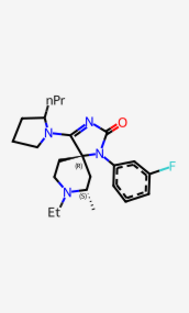 CCCC1CCCN1C1=NC(=O)N(c2cccc(F)c2)[C@@]12CCN(CC)[C@@H](C)C2